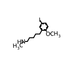 CNCCCCCc1cc(I)ccc1OC